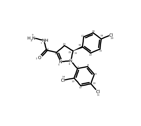 NNC(=O)C1=NN(c2ccc(Cl)cc2Cl)[C@H](c2ccc(Cl)cc2)C1